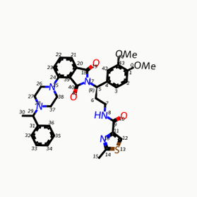 COc1ccc([C@@H](CCNC(=O)c2csc(C)n2)N2C(=O)c3cccc(N4CCN(C(C)c5ccccc5)CC4)c3C2=O)cc1OC